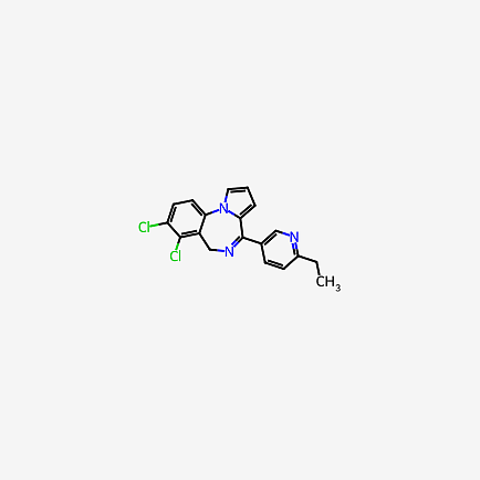 CCc1ccc(C2=NCc3c(ccc(Cl)c3Cl)-n3cccc32)cn1